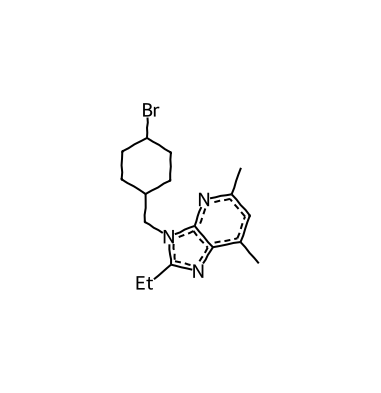 CCc1nc2c(C)cc(C)nc2n1CC1CCC(Br)CC1